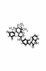 C[C@H]1NC(C)(C)C(=O)N(CC(=O)Nc2ccc3c(c2)C[C@@]2(C3)C(=O)Nc3ncccc32)[C@@H]1c1cc(F)cc(F)c1